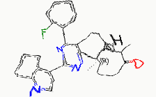 CC1C(=O)CC[C@@]2(C)c3nc(-c4ccnc5ccccc45)nc(-c4ccccc4F)c3CC[C@@H]12